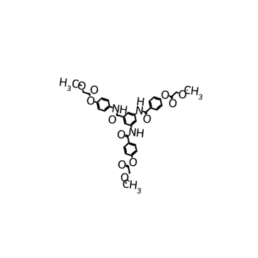 COCC(=O)Oc1ccc(NC(=O)c2cc(NC(=O)c3ccc(OC(=O)COC)cc3)cc(NC(=O)c3ccc(OC(=O)COC)cc3)c2)cc1